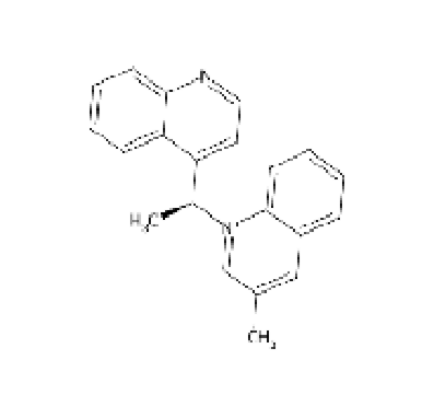 Cc1cc2ccccc2[n+]([C@@H](C)c2ccnc3ccccc23)c1